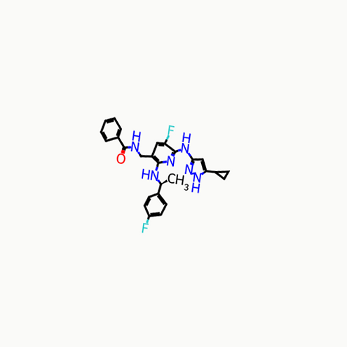 C[C@H](Nc1nc(Nc2cc(C3CC3)[nH]n2)c(F)cc1CNC(=O)c1ccccc1)c1ccc(F)cc1